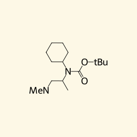 CNCC(C)N(C(=O)OC(C)(C)C)C1CCCCC1